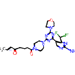 C/C=C/C(=O)CCCC(=O)N1CCN(c2nc(-c3cnc(N)nc3C(F)F)nc(N3CCOCC3)n2)CC1